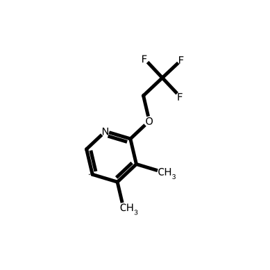 Cc1[c]cnc(OCC(F)(F)F)c1C